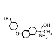 CC(C)(C)[C@H]1CC[C@H](Oc2ccc3c(c2)CC[C@@H]([C@](C)(N)CO)C3)CC1